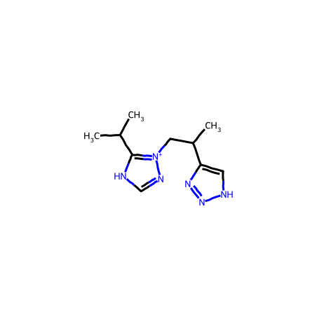 CC(C)c1[nH]cn[n+]1CC(C)c1c[nH]nn1